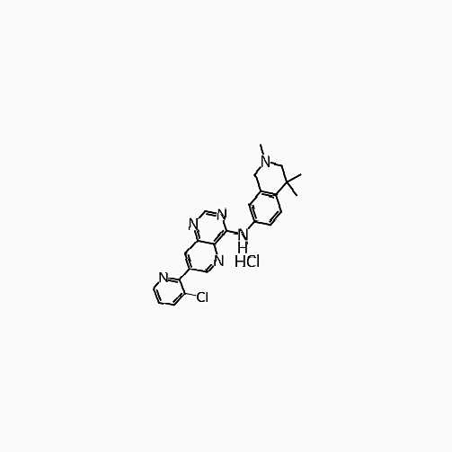 CN1Cc2cc(Nc3ncnc4cc(-c5ncccc5Cl)cnc34)ccc2C(C)(C)C1.Cl